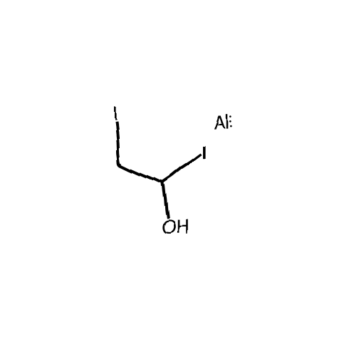 OC(I)CI.[Al]